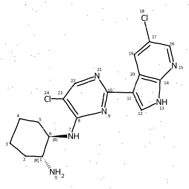 N[C@@H]1CCCC[C@H]1Nc1nc(-c2c[nH]c3ncc(Cl)cc23)ncc1Cl